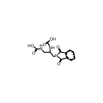 O=C(O)NCC(CN1C(=O)c2ccccc2C1=O)NC(=O)O